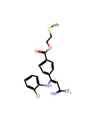 CCCSCCOC(=O)c1ccc(/C(=C/C(=N)C(F)(F)F)Nc2ccccc2Cl)cc1